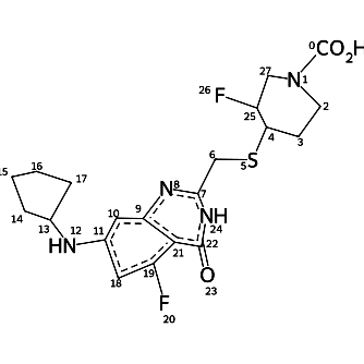 O=C(O)N1CCC(SCc2nc3cc(NC4CCCC4)cc(F)c3c(=O)[nH]2)C(F)C1